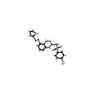 O=S(=O)(NC1CCc2c(CCc3nccs3)cccc2C1)c1ccc(Cl)cc1